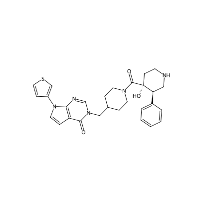 O=C(N1CCC(Cn2cnc3c(ccn3-c3ccsc3)c2=O)CC1)[C@@]1(O)CCNC[C@H]1c1ccccc1